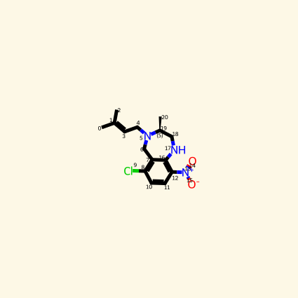 CC(C)=CCN1Cc2c(Cl)ccc([N+](=O)[O-])c2NC[C@@H]1C